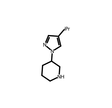 CC(C)c1cnn(C2CCCNC2)c1